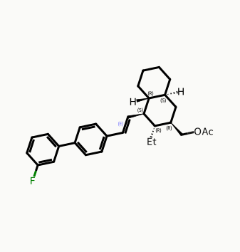 CC[C@H]1[C@H](COC(C)=O)C[C@@H]2CCCC[C@H]2[C@@H]1/C=C/c1ccc(-c2cccc(F)c2)cc1